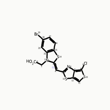 O=C(O)CN1/C(=C/c2nc3c(Cl)scc3s2)Sc2ccc(Br)cc21